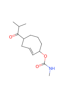 CNC(=O)OC1/C=C/CC(C(=O)C(C)C)CCC1